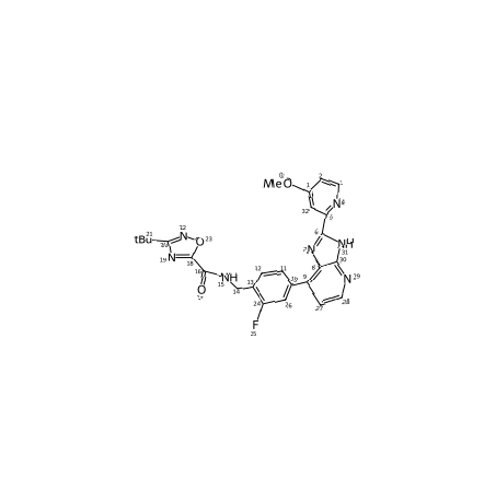 COc1ccnc(-c2nc3c(-c4ccc(CNC(=O)c5nc(C(C)(C)C)no5)c(F)c4)ccnc3[nH]2)c1